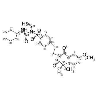 COc1ccc2c(c1)C(=O)N(CCc1ccc(S(=O)(=O)N(SS)C(=O)NC3CCCCC3)cc1)C(=O)C2(C)C